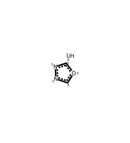 [LiH].c1nnco1